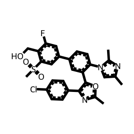 Cc1cn(-c2ccc(-c3cc(F)c(CO)c(S(C)(=O)=O)c3)cc2-c2oc(C)nc2-c2ccc(Cl)cc2)c(C)n1